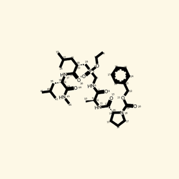 CCOP(=O)(CNC(=O)[C@H](C)NC(=O)[C@H]1CCCN1C(=O)OCc1ccccc1)C[C@@H](CC(C)C)C(=O)N[C@@H](CC(C)C)C(=O)NC